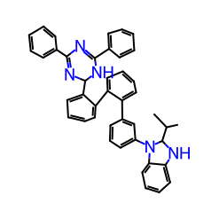 CC(C)C1Nc2ccccc2N1c1cccc(-c2ccccc2-c2ccccc2C2N=C(c3ccccc3)N=C(c3ccccc3)N2)c1